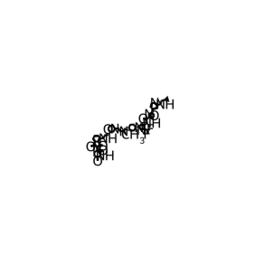 CN(CCN1CCO[C@@H](CCNc2cccc3c2C(=O)N(C2CCC(=O)NC2=O)C3=O)C1)C[C@H]1CC[C@H](n2cc(NC(=O)c3coc(-c4ccnc(NCC5CC5)c4)n3)c(C(F)F)n2)CC1